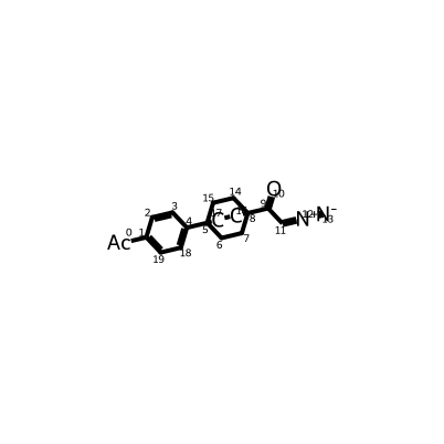 CC(=O)c1ccc(C23CCC(C(=O)C=[N+]=[N-])(CC2)CC3)cc1